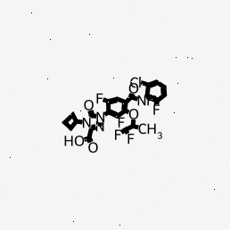 CC(Oc1cc(-n2nc(C(=O)O)n(C3CCC3)c2=O)c(F)cc1C(=O)Nc1c(F)cccc1Cl)C(F)(F)F